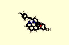 CC1=CCC(C#CC2=CC3c4c(ccc5ccc6ccc(C)c(NC#Cc7ccc(C#N)cc7)c6c45)C=CC3CC2)C=C1